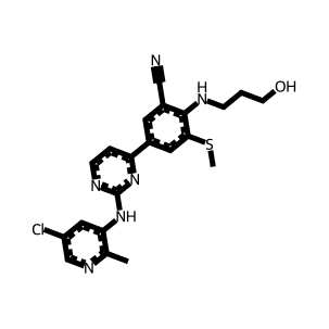 CSc1cc(-c2ccnc(Nc3cc(Cl)cnc3C)n2)cc(C#N)c1NCCCO